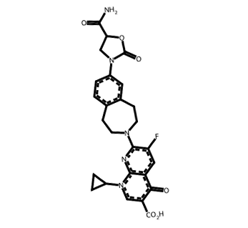 NC(=O)C1CN(c2ccc3c(c2)CCN(c2nc4c(cc2F)c(=O)c(C(=O)O)cn4C2CC2)CC3)C(=O)O1